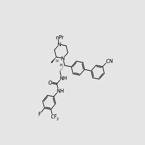 CCCN1CCN([C@@H](CNC(=O)Nc2ccc(F)c(C(F)(F)F)c2)c2ccc(-c3cccc(C#N)c3)cc2)[C@@H](C)C1